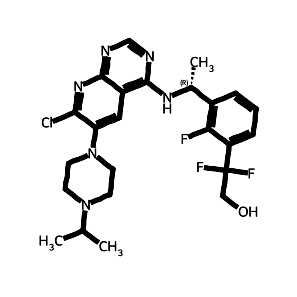 CC(C)N1CCN(c2cc3c(N[C@H](C)c4cccc(C(F)(F)CO)c4F)ncnc3nc2Cl)CC1